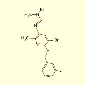 CCN(C)/C=N/c1cc(Br)c(OCc2cccc(I)c2)nc1C